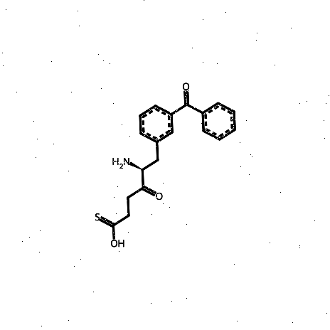 N[C@@H](Cc1cccc(C(=O)c2ccccc2)c1)C(=O)CCC(O)=S